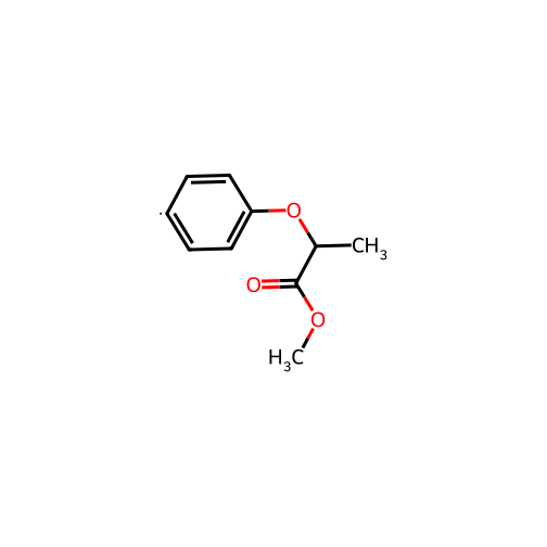 COC(=O)C(C)Oc1cc[c]cc1